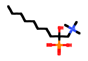 CCCCCCCCC(O)(C[N+](C)(C)C)P(=O)(O)O